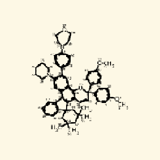 COc1ccc(C2(c3ccc(OC)cc3)C=Cc3c4c(c5cc(N6CCCCC6)c(-c6ccc(N7CCOCC7)cc6)cc5c3O2)-c2ccccc2C42CC(C)(C)CC(C)(C)C2)cc1